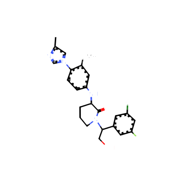 COc1cc(NC2CCCN(C(CO)c3cc(F)cc(Cl)c3)C2=O)ccc1-n1cnc(C)c1